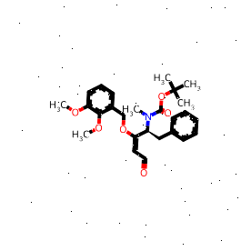 COc1cccc(CO/C(=C/C=O)[C@H](Cc2ccccc2)N(C)C(=O)OC(C)(C)C)c1OC